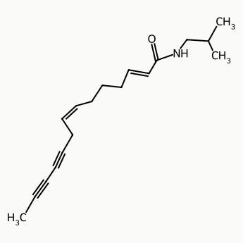 CC#CC#CC/C=C\CCC/C=C/C(=O)NCC(C)C